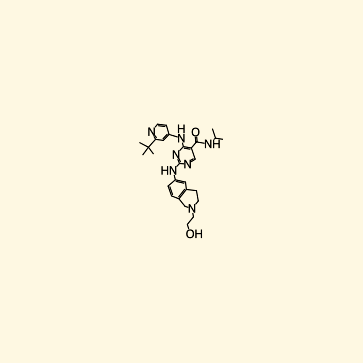 CC(C)NC(=O)c1cnc(Nc2ccc3c(c2)CCN(CCO)C3)nc1Nc1ccnc(C(C)(C)C)c1